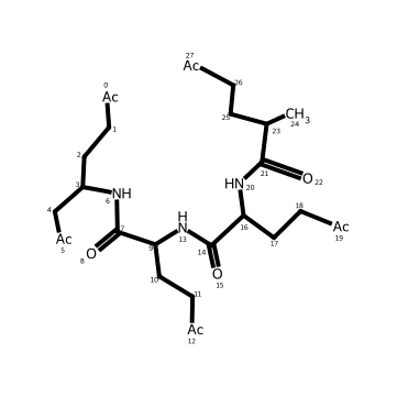 CC(=O)CCC(CC(C)=O)NC(=O)C(CCC(C)=O)NC(=O)C(CCC(C)=O)NC(=O)C(C)CCC(C)=O